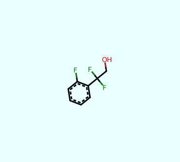 OCC(F)(F)c1ccccc1F